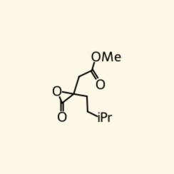 COC(=O)CC1(CCC(C)C)OC1=O